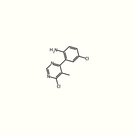 Cc1c(Cl)ncnc1-c1cc(Cl)ccc1N